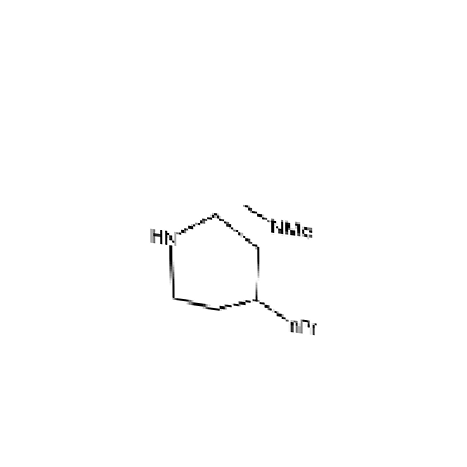 CCCC1CCNCC1.CNC